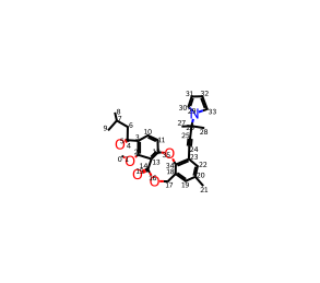 COc1c(C(=O)CC(C)C)ccc2c1C(=O)OCc1cc(C)cc(C#CC(C)(C)n3cccc3)c1O2